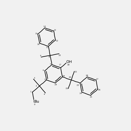 CC(C)(C)CC(C)(C)c1cc(C(C)(C)c2ccccc2)c(O)c(C(C)(C)c2ccccc2)c1